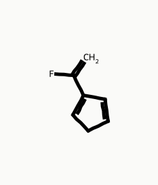 C=C(F)C1=CCC=C1